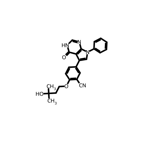 CC(C)(O)CCOc1ccc(-c2cn(-c3ccccc3)c3nc[nH]c(=O)c23)cc1C#N